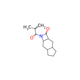 C=C(C)C(=O)N1C(=O)C2CC3CCCC3CC21